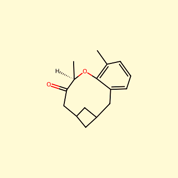 Cc1cccc2c1O[C@H](C)C(=O)CC1CC(C2)C1